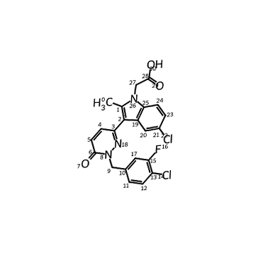 Cc1c(-c2ccc(=O)n(Cc3ccc(Cl)c(F)c3)n2)c2cc(Cl)ccc2n1CC(=O)O